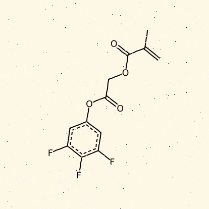 C=C(C)C(=O)OCC(=O)Oc1cc(F)c(F)c(F)c1